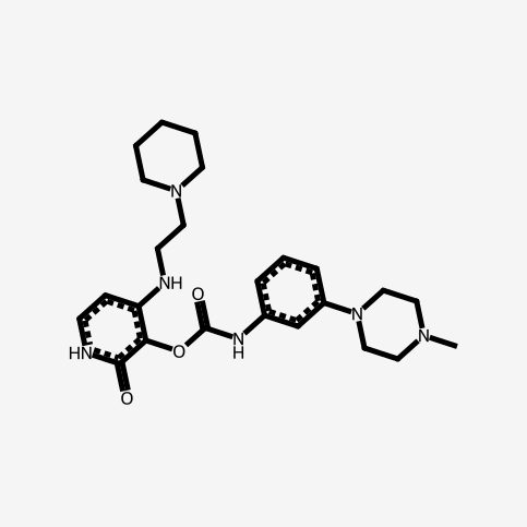 CN1CCN(c2cccc(NC(=O)Oc3c(NCCN4CCCCC4)cc[nH]c3=O)c2)CC1